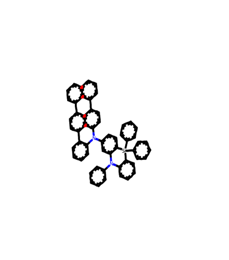 c1ccc(-c2ccc(-c3ccccc3N(c3ccc(-c4ccccc4)cc3)c3ccc4c(c3)N(c3ccccc3)c3ccccc3[Si]4(c3ccccc3)c3ccccc3)cc2)cc1